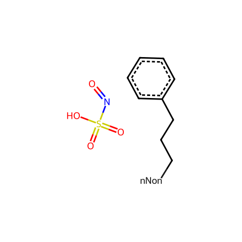 CCCCCCCCCCCCc1ccccc1.O=NS(=O)(=O)O